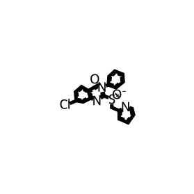 O=c1c2ccc(Cl)cc2nc([S+]([O-])Cc2ccccn2)n1-c1ccccc1